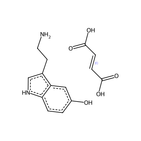 NCCc1c[nH]c2ccc(O)cc12.O=C(O)/C=C/C(=O)O